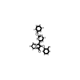 Cc1ccccc1Oc1c(-c2ccnc(Oc3ccccc3)n2)n2n(c1=O)CCC2